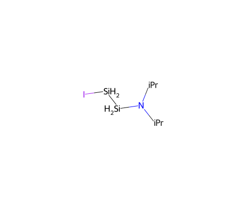 CC(C)N([SiH2][SiH2]I)C(C)C